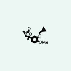 COc1ccc(C2(C)CN(C)C(=O)O2)cc1OCC1CC1